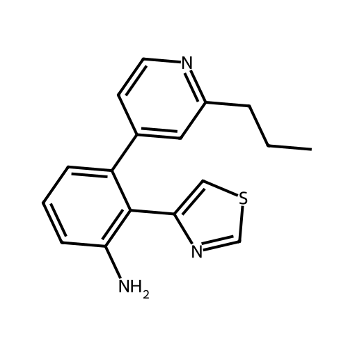 CCCc1cc(-c2cccc(N)c2-c2cscn2)ccn1